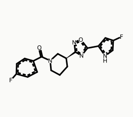 O=C(c1ccc(F)cc1)N1CCC[C@H](c2noc(-c3cc(F)c[nH]3)n2)C1